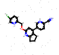 N#Cc1ccc(-c2cc(OCc3ccc(F)cn3)nc3c2CCC3)cn1